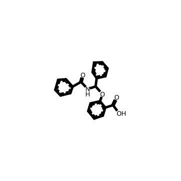 O=C(NC(Oc1ccccc1C(=O)O)c1ccccc1)c1ccccc1